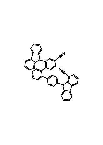 N#Cc1ccc(-c2ccccc2-c2ccc(-n3c4ccccc4c4cccc(C#N)c43)cc2)c(-n2c3ccccc3c3ccccc32)c1